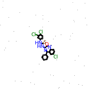 CN1C(=O)C(NC(=S)Nc2ccc(Cl)c(Cl)c2)N=C(c2ccccc2)c2cc(Cl)ccc21